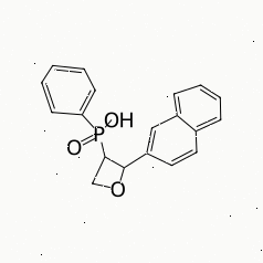 O=P(O)(c1ccccc1)C1COC1c1ccc2ccccc2c1